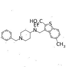 CCN(Cc1c(C(=O)O)sc2ccc(C)cc12)C1CCN(Cc2ccccc2)CC1